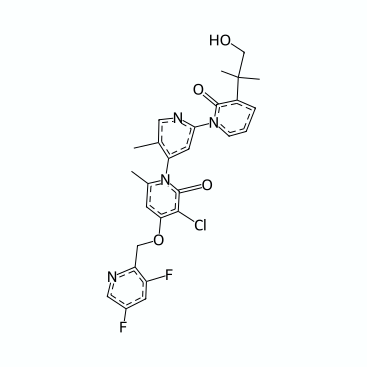 Cc1cnc(-n2cccc(C(C)(C)CO)c2=O)cc1-n1c(C)cc(OCc2ncc(F)cc2F)c(Cl)c1=O